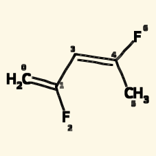 C=C(F)/C=C(\C)F